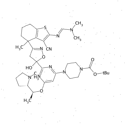 C[C@H](Oc1cc(N2CCN(C(=O)OC(C)(C)C)CC2)nc(C2(O)CC(C3(C)CCCc4sc(/N=C/N(C)C)c(C#N)c43)=NO2)n1)[C@@H]1CCCN1C